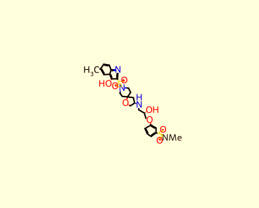 CNS(=O)(=O)c1cccc(OC[C@@H](O)CN[C@H]2COC3(CCN(S(=O)(=O)c4cnc5ccc(C)cc5c4O)CC3)C2)c1